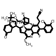 CSc1nc2c(F)c(-c3cccc(Cl)c3Cl)c(CCC#N)cc2c2c1cc(C1CNC3=C1CC(=O)C=C3)n2[C@H]1[C@@H]2C[C@H]1N(C(=O)OC(C)(C)C)C2